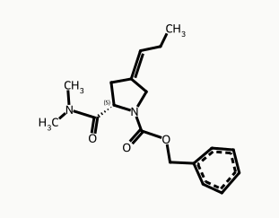 CCC=C1C[C@@H](C(=O)N(C)C)N(C(=O)OCc2ccccc2)C1